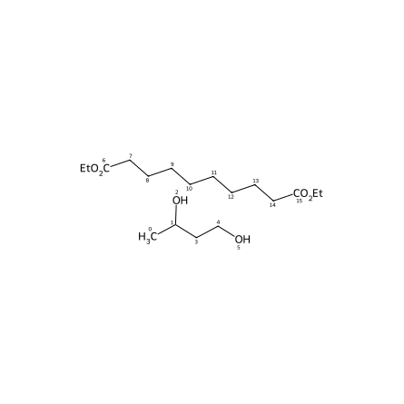 CC(O)CCO.CCOC(=O)CCCCCCCCC(=O)OCC